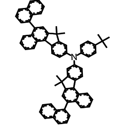 CC(C)(C)c1ccc(N(c2ccc3c(c2)C(C)(C)c2cc(-c4cccc5ccccc45)c4ccccc4c2-3)c2ccc3c(c2)C(C)(C)c2cc(-c4cccc5ccccc45)c4ccccc4c2-3)cc1